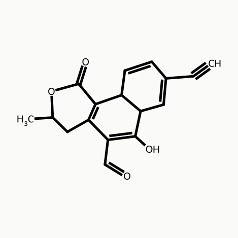 C#CC1=CC2C(O)=C(C=O)C3=C(C(=O)OC(C)C3)C2C=C1